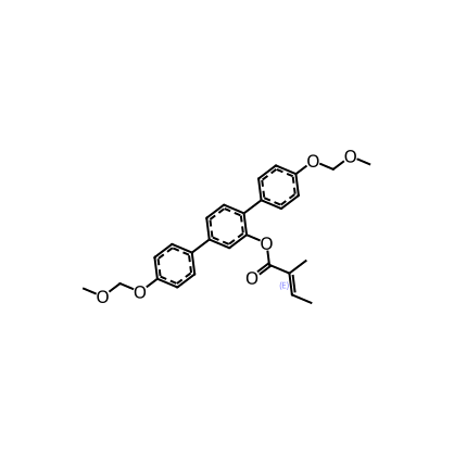 C/C=C(\C)C(=O)Oc1cc(-c2ccc(OCOC)cc2)ccc1-c1ccc(OCOC)cc1